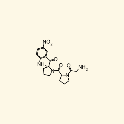 NCC(=O)N1CCCC1C(=O)N1CCCC1C(=O)c1cc([N+](=O)[O-])ccc1N